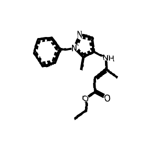 CCOC(=O)C=C(C)Nc1cnn(-c2ccccc2)c1C